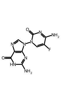 Nc1nc2c(ncn2-n2cc(F)c(N)nc2=O)c(=O)[nH]1